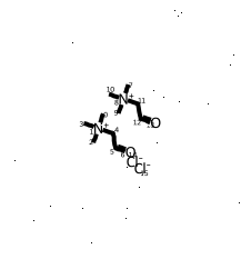 C[N+](C)(C)CC=O.C[N+](C)(C)CC=O.[Cl-].[Cl-]